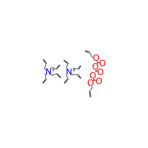 C=CCOC(=O)OC(=O)OC(=O)OCC=C.C=CC[N+](CC=C)(CC=C)CC=C.C=CC[N+](CC=C)(CC=C)CC=C